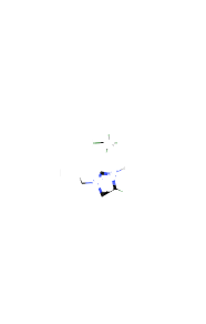 CC[n+]1cc(Cl)n(C)c1.[Cl][Al-]([Cl])([Cl])[Cl]